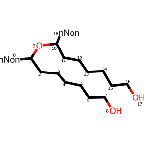 CCCCCCCCCC(CCCCCCO)OC(CCCCCCO)CCCCCCCCC